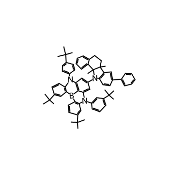 CC(C)(C)c1ccc(N2c3ccc(C(C)(C)C)cc3B3c4ccc(C(C)(C)C)cc4N(c4cccc(C(C)(C)C)c4)c4cc(N5c6ccc(-c7ccccc7)cc6C6(C)CCc7ccccc7C56C)cc2c43)cc1